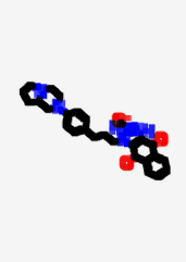 O=C1C2=C(C(=O)c3ccccc31)N(CCCc1ccc(N3CCN4CCCC4C3)cc1)[NH+]([O-])N2